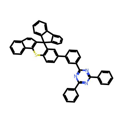 c1ccc(-c2nc(-c3ccccc3)nc(-c3cccc(-c4ccc5c(c4)C4(c6ccccc6-c6ccccc64)c4ccc6ccccc6c4S5)c3)n2)cc1